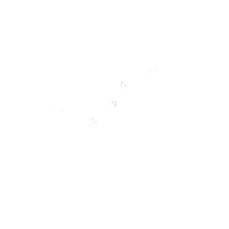 CCOc1ccc(N2CCN(CC(CC)CC(C)(C)OC(C)(C)C)CC2)nc1